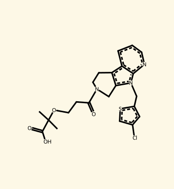 CC(C)(OCCC(=O)N1CCc2c(n(Cc3cc(Cl)cs3)c3ncccc23)C1)C(=O)O